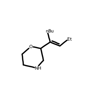 CC/C=C(\CCCC)C1CNCCO1